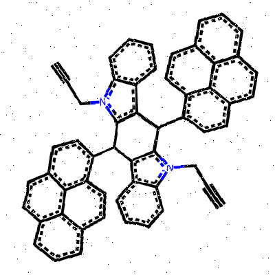 C#CCn1c2c(c3ccccc31)C(c1ccc3ccc4cccc5ccc1c3c45)c1c(c3ccccc3n1CC#C)C2c1ccc2ccc3cccc4ccc1c2c34